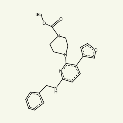 CC(C)(C)OC(=O)N1CCN(c2nc(NCc3ccccc3)ccc2-c2ccoc2)CC1